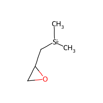 C[Si](C)CC1CO1